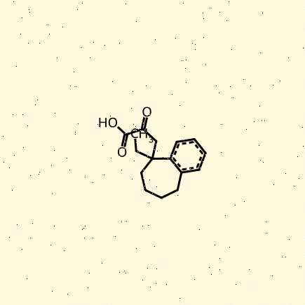 CCC1(CC(=O)C(=O)O)CCCCc2ccccc21